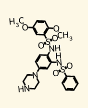 COc1ccc(OC)c(S(=O)(=O)Nc2ccc(N3CCNCC3)cc2NS(=O)(=O)c2ccccc2)c1